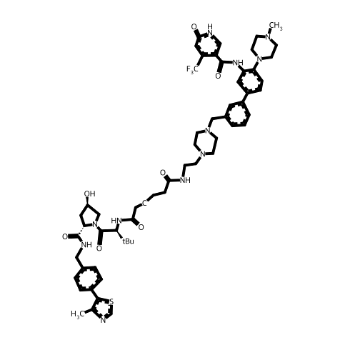 Cc1ncsc1-c1ccc(CNC(=O)[C@@H]2C[C@@H](O)CN2C(=O)[C@@H](NC(=O)CCCCC(=O)NCCN2CCN(Cc3cccc(-c4ccc(N5CCN(C)CC5)c(NC(=O)c5c[nH]c(=O)cc5C(F)(F)F)c4)c3)CC2)C(C)(C)C)cc1